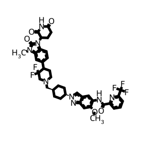 COc1cc2nn([C@H]3CC[C@H](CN4CCC(c5ccc6c(c5)n(C)c(=O)n6C5CCC(=O)NC5=O)C(F)(F)C4)CC3)cc2cc1NC(=O)c1cccc(C(F)(F)F)n1